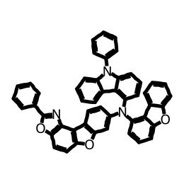 c1ccc(-c2nc3c(ccc4oc5cc(N(c6cccc7oc8ccccc8c67)c6cccc7c6c6ccccc6n7-c6ccccc6)ccc5c43)o2)cc1